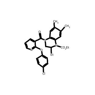 CCOC(=O)N1c2cc(C)c(C)cc2N(C(=O)c2cccnc2Oc2ccc(Cl)cc2)CC1CC